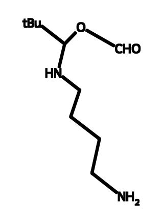 CC(C)(C)C(NCCCCN)OC=O